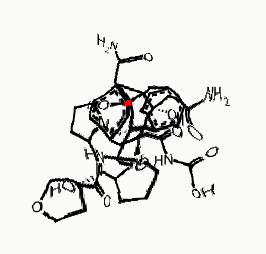 NC(=O)C[C@]1(O)Cc2ccc(cc2)[C@]1(C(=O)NC(=O)O)N1CCCC1N(C1CCCN1[C@@]1(C(=O)NC(=O)O)c2ccc(cc2)C[C@@]1(O)CC(N)=O)[C@@H]1CCOC1